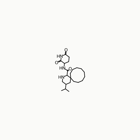 CC(C)C1CNC(C(=O)NC2CCC(=O)NC2=O)C2(CCCCCCCCC2)C1